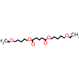 C=COCCCCCOC(=O)CCCC(=O)OCCCCCOC=C